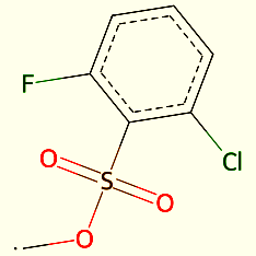 [CH2]OS(=O)(=O)c1c(F)cccc1Cl